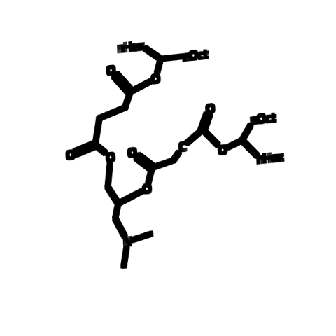 CCCCCCCCC(CCCCCC)OC(=O)CCC(=O)OCC(CN(C)C)OC(=O)CCC(=O)OC(CCCCCC)CCCCCCCC